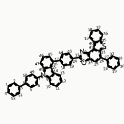 c1ccc(-c2ccc(-n3c4ccccc4c4c(-c5ccc(-c6nc7c(cc(-c8ccccc8)c8sc9ccccc9c87)o6)cc5)cccc43)cc2)cc1